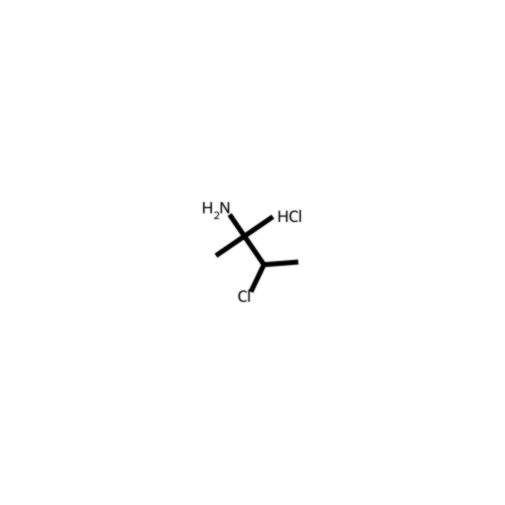 CC(Cl)C(C)(C)N.Cl